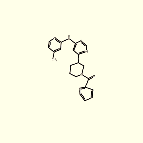 Cc1ccnc(Nc2cc(C3CCCN(C(=O)c4ccccc4)C3)ncn2)c1